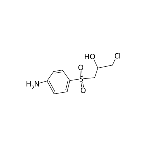 Nc1ccc(S(=O)(=O)CC(O)CCl)cc1